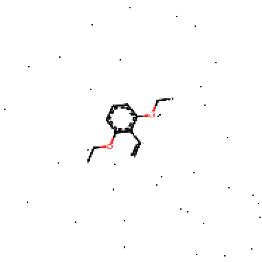 C=[C]c1c(OCC)cccc1OCC